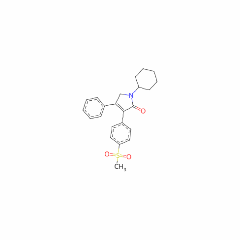 CS(=O)(=O)c1ccc(C2=C(c3ccccc3)CN(C3CCCCC3)C2=O)cc1